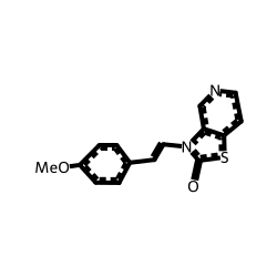 COc1ccc(/C=C/n2c(=O)sc3ccncc32)cc1